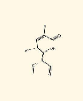 C=C[C@H](OC)[C@@H](O)[C@H](C)/C=C(/C)C=O